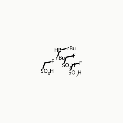 CCCCBCCCC.O=S(=O)(O)CF.O=S(=O)(O)CF.O=S(=O)(O)CF